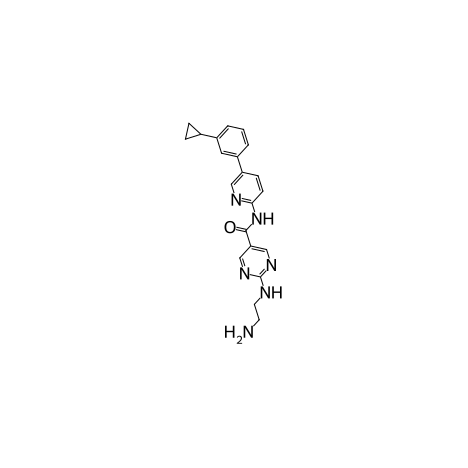 NCCNc1ncc(C(=O)Nc2ccc(-c3cccc(C4CC4)c3)cn2)cn1